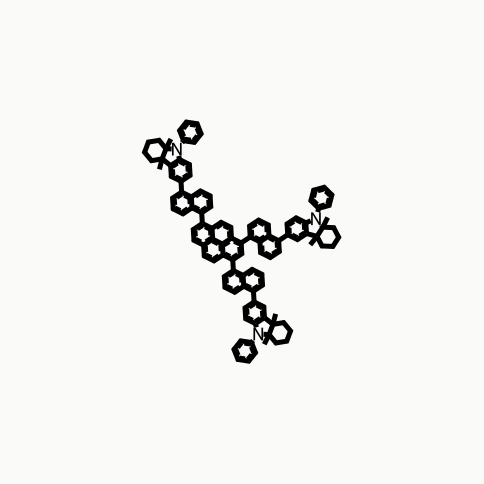 CC12CCCCC1(C)N(c1ccccc1)c1ccc(-c3cccc4c(-c5ccc6ccc7c(-c8cccc9c(-c%10ccc%11c(c%10)C%10(C)CCCCC%10(C)N%11c%10ccccc%10)cccc89)cc(-c8cccc9c(-c%10ccc%11c(c%10)C%10(C)CCCCC%10(C)N%11c%10ccccc%10)cccc89)c8ccc5c6c78)cccc34)cc12